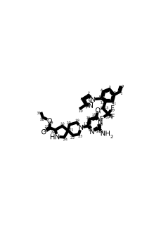 C=Cc1ccc(-n2ccc(C)n2)c([C@@H](Oc2cc(N3CCC4(CC3)CNC(C(=O)OCC)C4)nc(N)n2)C(F)(F)F)c1